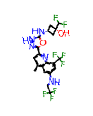 Cc1cc(C2=NNC(N[C@H]3C[C@](O)(C(F)F)C3)O2)nc2c(C(F)(F)F)cc(NCC(F)(F)F)cc12